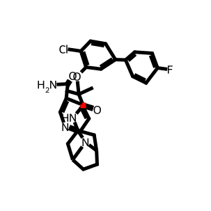 CC(C)(Oc1cc(-c2ccc(F)cc2)ccc1Cl)C(=O)NC1CC2CCC(C1)N2c1ccc(C(N)=O)cn1